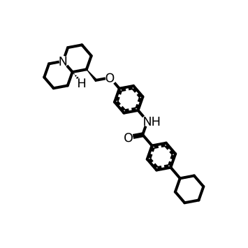 O=C(Nc1ccc(OC[C@@H]2CCCN3CCCC[C@H]23)cc1)c1ccc(C2CCCCC2)cc1